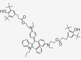 CCCn1c(-c2ccccc2)c(C(=C2C=CC(=[N+](CC)CCOC(=O)CCc3cc(C(C)(C)C)c(O)c(C(C)(C)C)c3)C=C2)c2ccc(N(CC)CCOC(=O)CCc3cc(C(C)(C)C)c(O)c(C(C)(C)C)c3)cc2)c2ccccc21